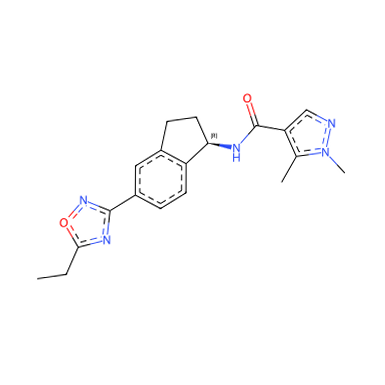 CCc1nc(-c2ccc3c(c2)CC[C@H]3NC(=O)c2cnn(C)c2C)no1